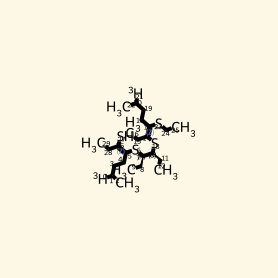 [3H]C(C)CC/C(S[C@H](CC)[C@H](CC)S/C(CC)=C(/CCC([3H])C)SCC)=C(/S)CC